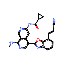 CNc1ncc(-c2nc3cccc(/C=C/C#N)c3o2)c2cc(NC(=O)C3CC3)ncc12